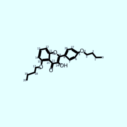 CCCCOc1ccc(-c2oc3cccc(OCCCC)c3c(=O)c2O)cc1